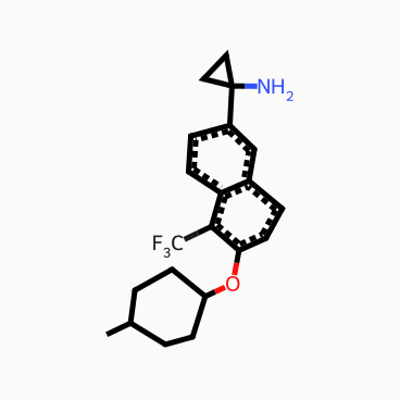 CC1CCC(Oc2ccc3cc(C4(N)CC4)ccc3c2C(F)(F)F)CC1